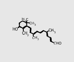 CC(C=CC=C(C)C=CC1=C(C)C(O)CCC1(C)C)=CC=CC=O